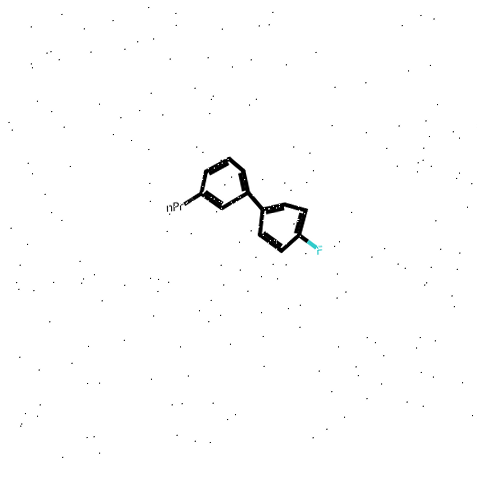 [CH2]CCc1cccc(-c2ccc(F)cc2)c1